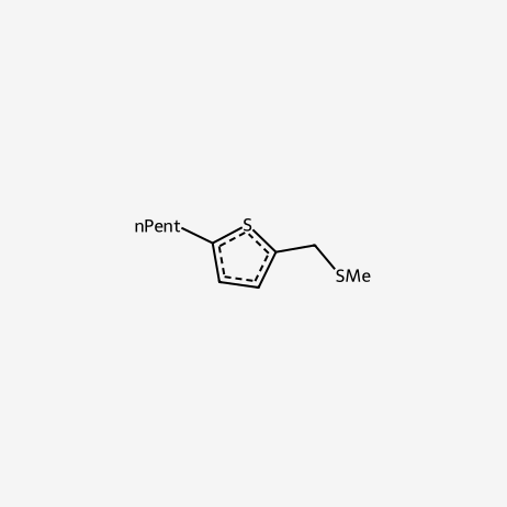 CCCCCc1ccc(CSC)s1